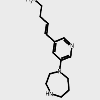 CCCC=Cc1cncc(N2CCCNCC2)c1